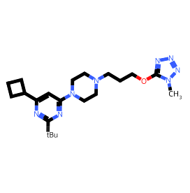 Cn1nnnc1OCCCN1CCN(c2cc(C3CCC3)nc(C(C)(C)C)n2)CC1